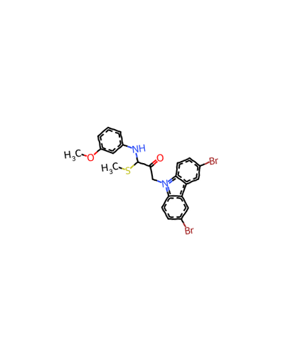 COc1cccc(NC(SC)C(=O)Cn2c3ccc(Br)cc3c3cc(Br)ccc32)c1